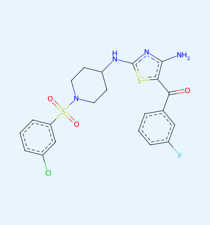 Nc1nc(NC2CCN(S(=O)(=O)c3cccc(Cl)c3)CC2)sc1C(=O)c1cccc(F)c1